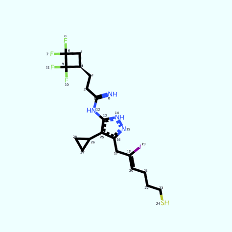 N=C(CC[C@@H]1CC(F)(F)C1(F)F)Nc1[nH]nc(C/C(I)=C/CCCS)c1C1CC1